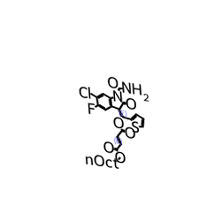 CCCCCCCCOC(=O)/C=C/C(=O)O/C(=C1/C(=O)N(C(N)=O)c2cc(Cl)c(F)cc21)c1cccs1